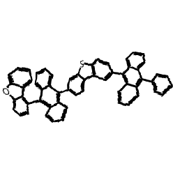 c1ccc(-c2c3ccccc3c(-c3ccc4sc5cc(-c6c7ccccc7c(-c7cccc8oc9ccccc9c78)c7ccccc67)ccc5c4c3)c3ccccc23)cc1